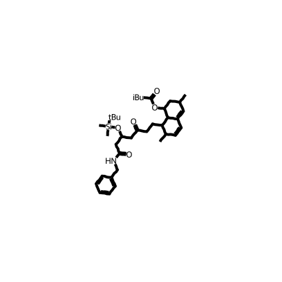 CCC(C)C(=O)OC1CC(C)C=C2C=CC(C)C(CCC(=O)CC(CC(=O)NCc3ccccc3)O[Si](C)(C)C(C)(C)C)C21